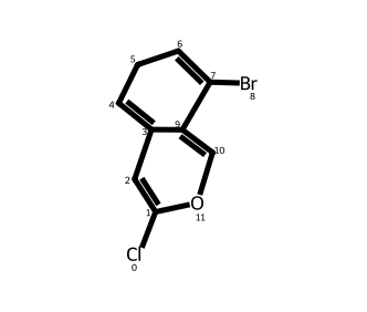 ClC1=CC2=CCC=C(Br)C2=CO1